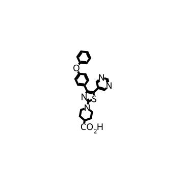 O=C(O)C1CCN(c2nc(-c3ccc(Oc4ccccc4)cc3)c(-c3cncnc3)s2)CC1